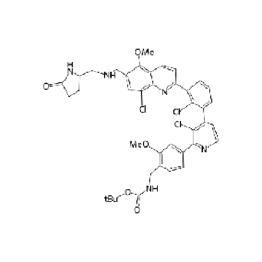 COc1cc(-c2nccc(-c3cccc(-c4ccc5c(OC)c(CNCC6CCC(=O)N6)cc(Cl)c5n4)c3Cl)c2Cl)ccc1CNC(=O)OC(C)(C)C